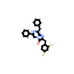 O=c1c(Cc2ccc(F)cc2F)nc2c(Cc3ccccc3)[nH]c(-c3ccccc3)cn1-2